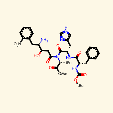 CC[C@@H](C)[C@@H](C(=O)OC)N(C(=O)CC(O)[C@@H](N)Cc1ccccc1[N+](=O)[O-])C(=O)[C@H](Cc1c[nH]cn1)NC(=O)[C@H](Cc1ccccc1)NC(=O)OC(C)(C)C